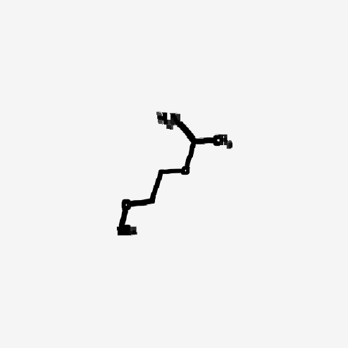 CCCCOCCOC(C)N